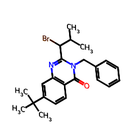 CC(C)C(Br)c1nc2cc(C(C)(C)C)ccc2c(=O)n1Cc1ccccc1